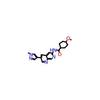 COC1CCC(C(=O)Nc2cc3cc(-c4cnn(C)c4)cnc3cn2)CC1